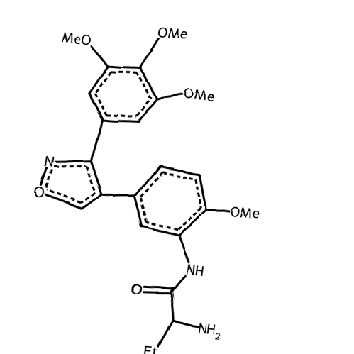 CCC(N)C(=O)Nc1cc(-c2conc2-c2cc(OC)c(OC)c(OC)c2)ccc1OC